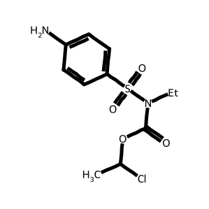 CCN(C(=O)OC(C)Cl)S(=O)(=O)c1ccc(N)cc1